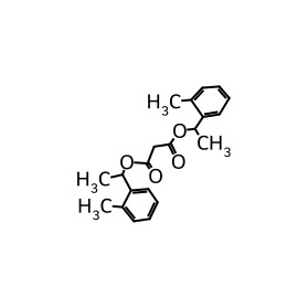 Cc1ccccc1C(C)OC(=O)CC(=O)OC(C)c1ccccc1C